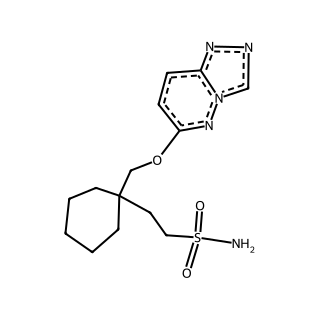 NS(=O)(=O)CCC1(COc2ccc3nncn3n2)CCCCC1